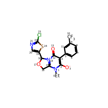 CCn1c([O-])c(-c2cccc(C(F)(F)F)c2)c(=O)[n+]2c1COC2c1cnc(Cl)s1